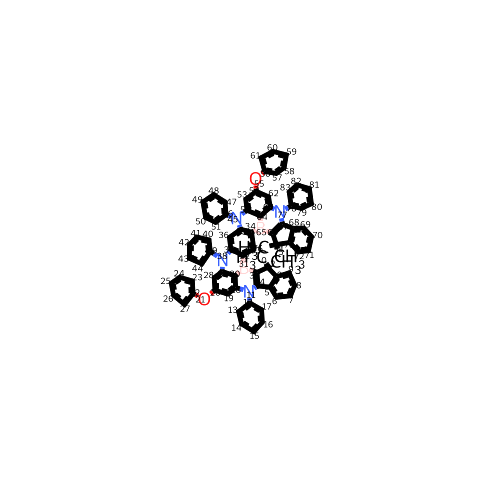 CC1(C)C2=C(c3ccccc31)N(c1ccccc1)c1cc(Oc3ccccc3)cc3c1B2c1cc2c(cc1N3c1ccccc1)N(c1ccccc1)c1cc(Oc3ccccc3)cc3c1B2C1=C(c2ccccc2C1(C)C)N3c1ccccc1